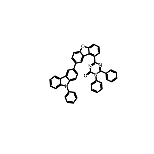 O=c1nc(-c2cccc3oc4ccc(-c5ccc6c(c5)c5ccccc5n6-c5ccccc5)cc4c23)nc(-c2ccccc2)n1-c1ccccc1